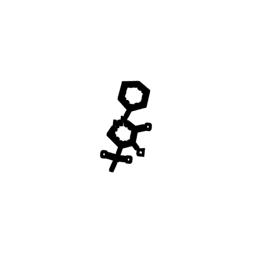 CS(=O)(=O)c1cnn(-c2ccccc2)c(=O)c1Cl